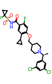 C[C@@H](c1cc(Cl)cc(Cl)c1)N1CCC(COc2cc(F)c(C(=O)NS(=O)(=O)C3(F)CC3)cc2C2CC2)CC1